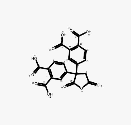 O=C1CC(c2ccc(C(=O)O)c(C(=O)O)c2)(c2ccc(C(=O)O)c(C(=O)O)c2)C(=O)O1